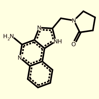 Nc1nc2ccccc2c2[nH]c(CN3CCCC3=O)nc12